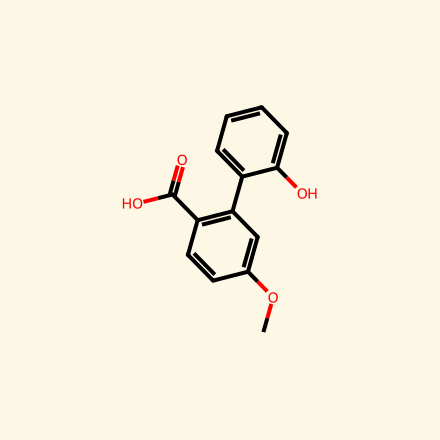 COc1ccc(C(=O)O)c(-c2ccccc2O)c1